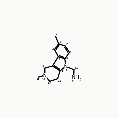 Cc1ccc2c(c1)c1c(n2CN)CCN(C)C1